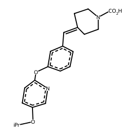 CC(C)Oc1ccc(Oc2cccc(C=C3CCN(C(=O)O)CC3)c2)nc1